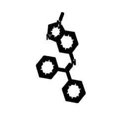 Cn1cnc2cc(N=C(c3ccccc3)c3ccccc3)ccc21